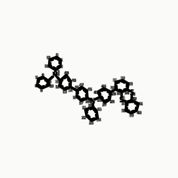 c1ccc(N(c2ccccc2)c2ccc(-c3ccc(N(c4ccccc4)c4ccc(-c5cccc6c5Sc5ccccc5S6)cc4)cc3)cc2)cc1